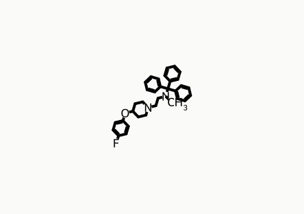 CN(CCN1CCC(Oc2ccc(F)cc2)CC1)C(c1ccccc1)(c1ccccc1)c1ccccc1